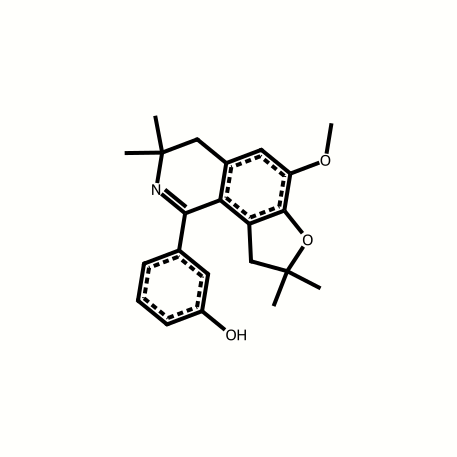 COc1cc2c(c3c1OC(C)(C)C3)C(c1cccc(O)c1)=NC(C)(C)C2